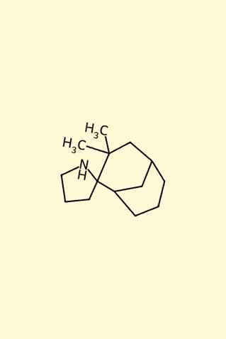 CC1(C)CC2CCCC(C2)C12CCCN2